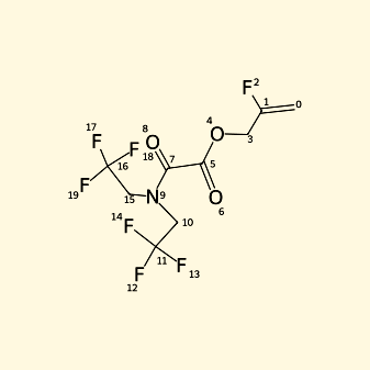 C=C(F)COC(=O)C(=O)N(CC(F)(F)F)CC(F)(F)F